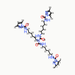 Cc1cc(C)n(C(=O)NCCCCCCNC(=O)N(CCCCCCNC(=O)n2nc(C)cc2C)C(=O)NCCCCCCNC(=O)n2nc(C)cc2C)n1